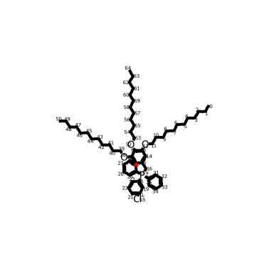 CCCCCCCCCCCCOc1cc(C[P+](c2ccccc2)(c2ccccc2)c2ccccc2)cc(OCCCCCCCCCCCC)c1OCCCCCCCCCCCC.[Cl-]